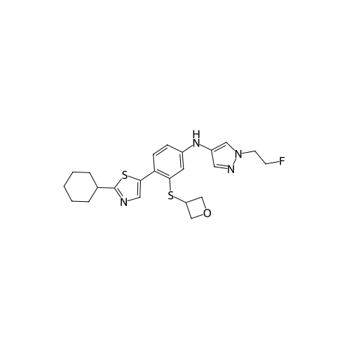 FCCn1cc(Nc2ccc(-c3cnc(C4CCCCC4)s3)c(SC3COC3)c2)cn1